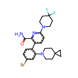 NC(=O)c1nc(N2CCC(F)(F)CC2)ccc1-c1ccc(Br)cc1N1CCC2(CC1)CC2